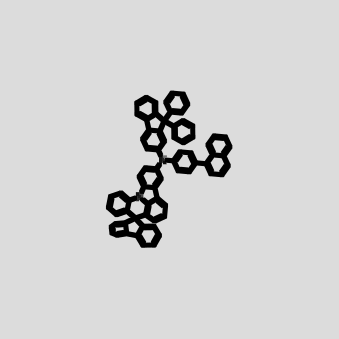 c1ccc(C2(c3ccccc3)c3ccccc3-c3ccc(N(c4ccc(-c5cccc6ccccc56)cc4)c4ccc5c(c4)c4cccc6c4n5-c4ccccc4C64c5ccccc5-c5ccccc54)cc32)cc1